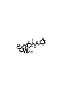 COc1ccc(OC(F)(F)F)cc1S(=O)(=O)c1ccc(NC(=O)/C=C/c2cccnc2)cc1